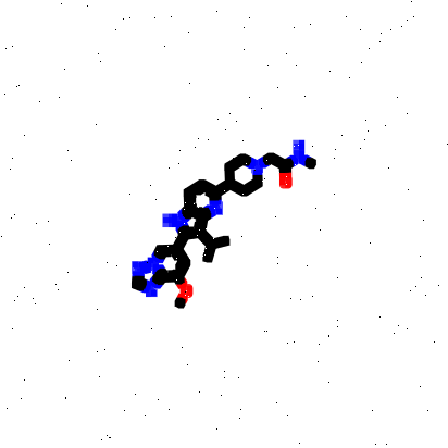 CNC(=O)CN1CCC(c2ccc3[nH]c(-c4cc(OC)c5ncnn5c4)c(C(C)C)c3n2)CC1